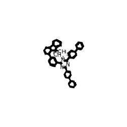 CC1(C)c2ccccc2-c2cccc(-c3cccc(-c4nc(-c5ccc(-c6ccccc6)cc5)nc(-c5ccc(-c6ccccc6)cc5)n4)c3)c21